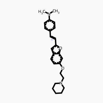 CN(C)c1ccc(/C=C/c2cc3ccc(OCCN4CCCCC4)cc3o2)cc1